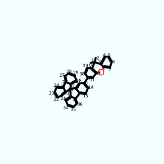 CC1(C)c2ccccc2Oc2cc(-c3ccc4c(c3)C3(c5ccccc5-c5ccccc53)c3ccccc3-4)ccc21